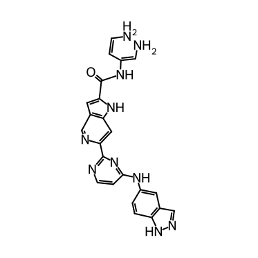 N/C=C\C(=C/N)NC(=O)c1cc2cnc(-c3nccc(Nc4ccc5[nH]ncc5c4)n3)cc2[nH]1